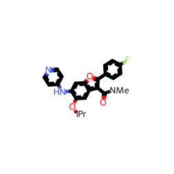 CNC(=O)c1c(-c2ccc(F)cc2)oc2cc(Nc3ccncc3)c(OC(C)C)cc12